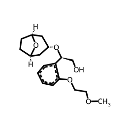 COCCOc1ccccc1[C@H](CO)O[C@@H]1C[C@H]2CC[C@@H](C1)O2